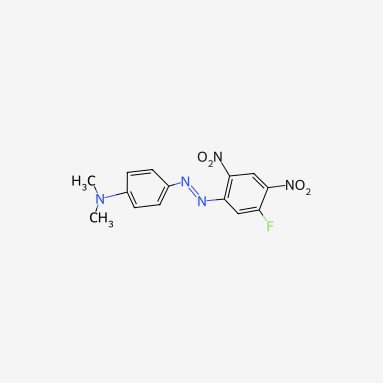 CN(C)c1ccc(N=Nc2cc(F)c([N+](=O)[O-])cc2[N+](=O)[O-])cc1